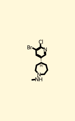 CNN1CCC[C@@H](c2cnc(Cl)c(Br)c2)CC1